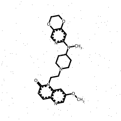 COc1cnc2ccc(=O)n(CCN3CCC(N(C)c4cc5c(cn4)OCCO5)CC3)c2c1